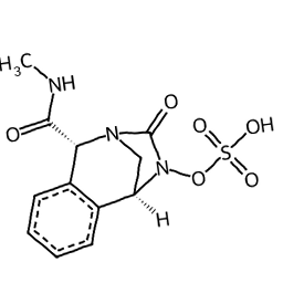 CNC(=O)[C@H]1c2ccccc2[C@H]2CN1C(=O)N2OS(=O)(=O)O